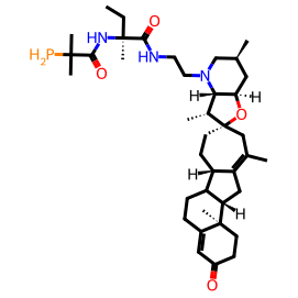 CC[C@](C)(NC(=O)C(C)(C)P)C(=O)NCCN1C[C@@H](C)C[C@H]2O[C@]3(CC[C@@H]4C(=C(C)C3)C[C@H]3C4CCC4=CC(=O)CC[C@@]43C)[C@H](C)[C@@H]21